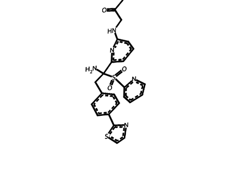 NC(Cc1ccc(-c2nccs2)cc1)(c1cccc(NCC(=O)O)n1)S(=O)(=O)c1ccccn1